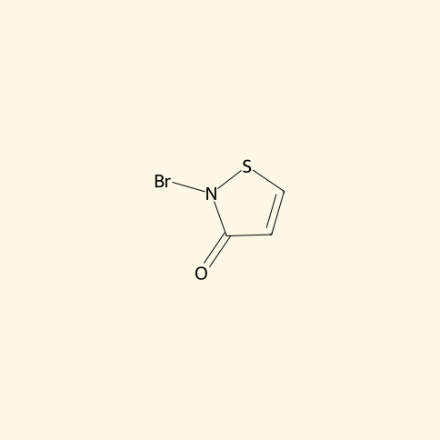 O=c1ccsn1Br